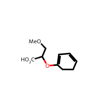 COCC(OC1=CC=CCC1)C(=O)O